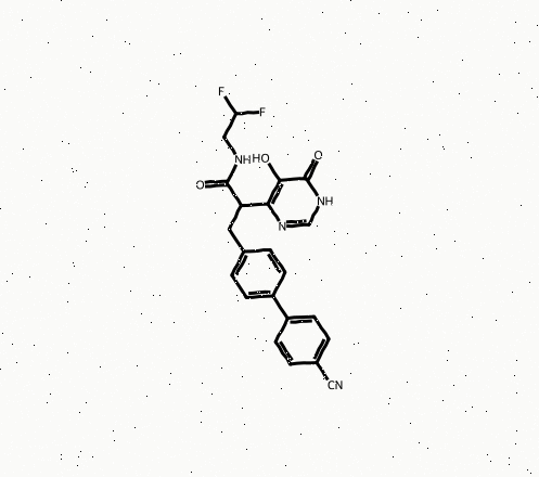 N#Cc1ccc(-c2ccc(CC(C(=O)NCC(F)F)c3nc[nH]c(=O)c3O)cc2)cc1